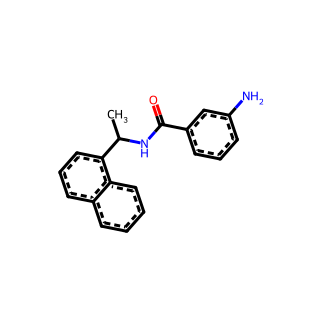 CC(NC(=O)c1cccc(N)c1)c1cccc2ccccc12